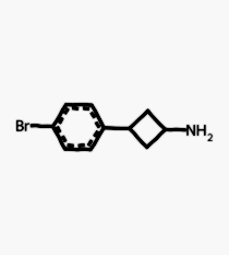 NC1CC(c2ccc(Br)cc2)C1